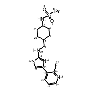 CCCS(=O)(=O)NC1CCC(CNc2nc(-c3cccnc3F)cs2)CC1